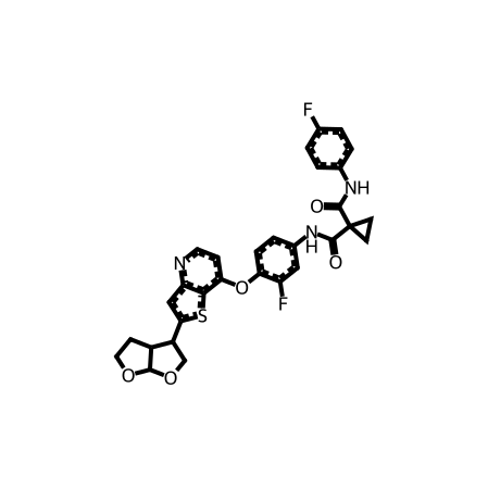 O=C(Nc1ccc(F)cc1)C1(C(=O)Nc2ccc(Oc3ccnc4cc(C5COC6OCCC65)sc34)c(F)c2)CC1